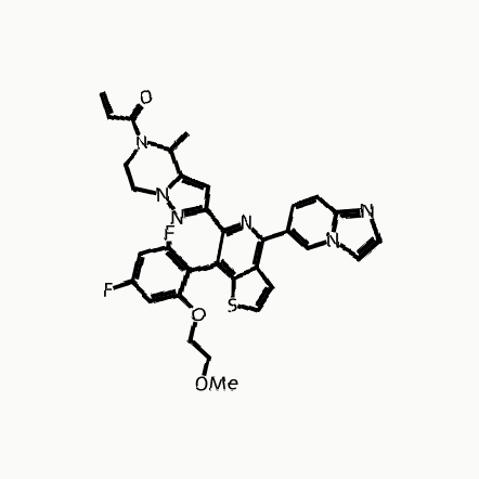 C=CC(=O)N1CCn2nc(-c3nc(-c4ccc5nccn5c4)c4ccsc4c3-c3c(F)cc(F)cc3OCCOC)cc2C1C